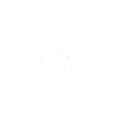 Cc1ccc2c(c1)O[C@H](C)CN[C@@H](C1CC1)C(=O)N(C)[C@H](C)C(=O)N[C@H](Cc1ccc(F)cc1)C(=O)NCCC2